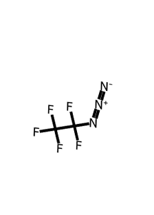 [N-]=[N+]=NC(F)(F)C(F)(F)F